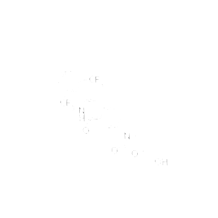 O=C1O[C@@H](CO)CN1c1ccc2cc(-c3c(C(F)(F)F)cccc3C(F)(F)F)[nH]c(=O)c2c1